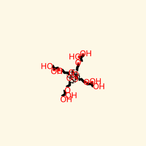 C[Si]1(CCCOCC(O)CO)O[Si](C)(CCCOCC(O)CO)O[Si](C)(CCCOCC(O)CO)O[Si](C)(CCCOCC(O)CO)O1